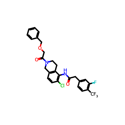 O=C(Cc1ccc(C(F)(F)F)c(F)c1)Nc1c(Cl)ccc2c1CCN(C(=O)COCc1ccccc1)C2